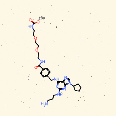 CC(C)(C)OC(=O)NCCOCCOCCNC(=O)c1ccc(CNc2nc(NCCCN)nc3c2ncn3C2CCCC2)cc1